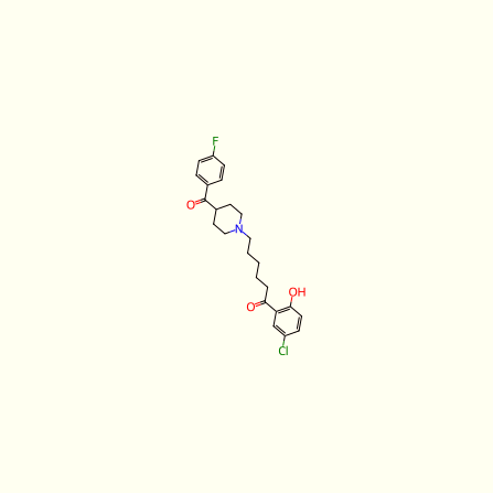 O=C(CCCCCN1CCC(C(=O)c2ccc(F)cc2)CC1)c1cc(Cl)ccc1O